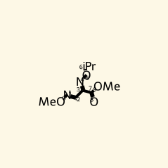 CON=[C]C(=NOC(C)C)C(=O)OC